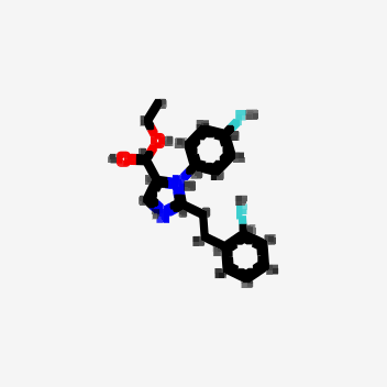 CCOC(=O)c1cnc(CCc2ccccc2F)n1-c1ccc(F)cc1